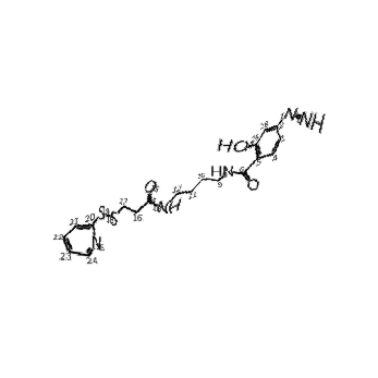 N=Nc1ccc(C(=O)NCCCCNC(=O)CCSSc2ccccn2)c(O)c1